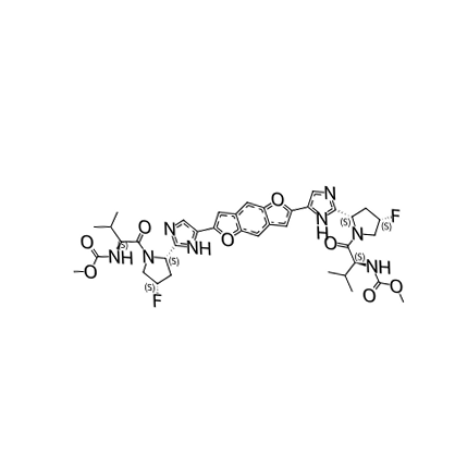 COC(=O)N[C@H](C(=O)N1C[C@@H](F)C[C@H]1c1ncc(-c2cc3cc4oc(-c5cnc([C@@H]6C[C@H](F)CN6C(=O)[C@@H](NC(=O)OC)C(C)C)[nH]5)cc4cc3o2)[nH]1)C(C)C